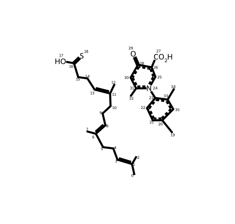 CC(C)=CCCC(C)=CCCC(C)=CCCC(O)=S.Cc1ccc(-n2cc(C(=O)O)c(=O)cc2C)c(C)c1